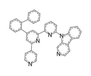 c1ccc(-c2ccccc2-c2cc(-c3ccncc3)nc(-c3cccc(-n4c5ccccc5c5ccncc54)n3)c2)cc1